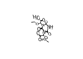 CCOC(C(=O)O)n1c(=O)[nH]c(=O)n(C(OCC)C(=O)O)c1=O